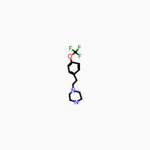 FC(F)(F)Oc1ccc(CCN2CC[N]CC2)cc1